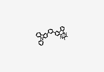 Cc1nc2c3ccccc3c3cc(-c4cccc(-c5ccc6c(c5)c5ccccc5n6-c5ccccc5)c4)ccc3c2nc1C